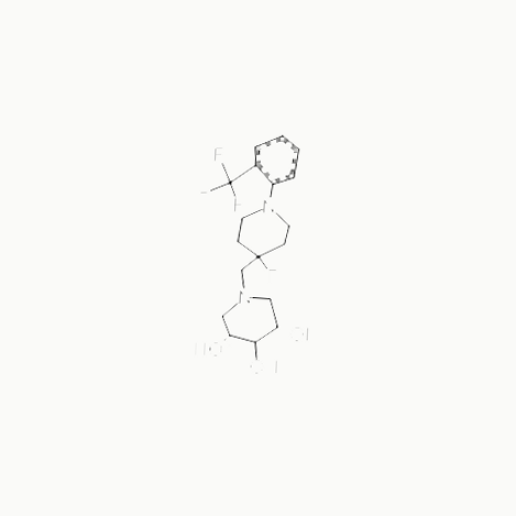 OC1[C@H](O)CN(CC2(F)CCN(c3ccccc3C(F)(F)F)CC2)C[C@@H]1O